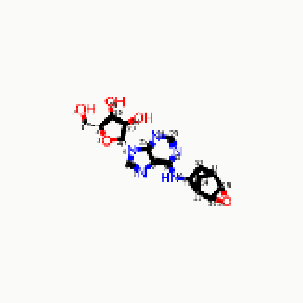 OC[C@H]1O[C@@H](n2cnc3c(NC4CC5CC4C4OC54)ncnc32)C(O)C1O